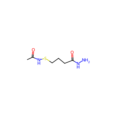 CC(=O)NSCCCC(=O)NN